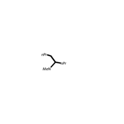 CCCCC(CCC)NC